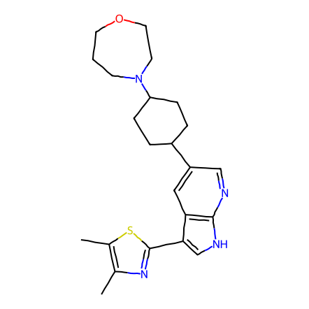 Cc1nc(-c2c[nH]c3ncc(C4CCC(N5CCCOCC5)CC4)cc23)sc1C